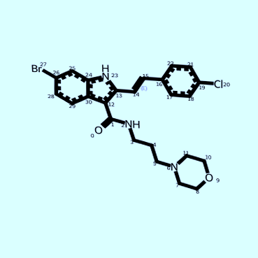 O=C(NCCCN1CCOCC1)c1c(/C=C/c2ccc(Cl)cc2)[nH]c2cc(Br)ccc12